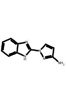 Nc1ccn(-c2nc3ccccc3[nH]2)n1